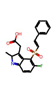 CC1N=c2ccc(F)c(S(=O)(=O)C=Cc3ccccc3)c2=C1CC(=O)O